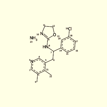 Cc1cncc(CC(NC2=NCCO2)c2cccc(Cl)c2)c1C.N